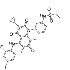 CCS(=O)(=O)Nc1cccc(-n2c(=O)n(C3CC3)c(=O)c3c(Nc4ccc(I)cc4F)n(C)c(=O)c(C)c32)c1